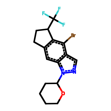 FC(F)(F)C1CCc2cc3c(cnn3C3CCCCO3)c(Br)c21